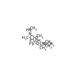 CN/C=N/c1cc(OC)c(C(O)(COCC(C)(C)COC(C)(C)C)C(F)(F)F)cc1C